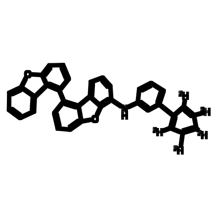 [2H]c1c([2H])c([2H])c(-c2cccc(Nc3cccc4c3oc3cccc(-c5cccc6oc7ccccc7c56)c34)c2)c([2H])c1[2H]